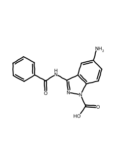 Nc1ccc2c(c1)c(NC(=O)c1ccccc1)nn2C(=O)O